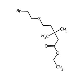 CCOC(=O)CC(C)(C)CCSCCBr